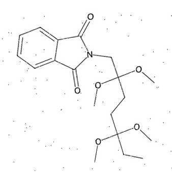 CCC(CCC(CN1C(=O)c2ccccc2C1=O)(OC)OC)(OC)OC